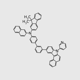 CC1(C)c2ccccc2-c2ccc(N(c3ccc(-c4cccc(-c5ccc6c(c5)c5c7ccccc7ccc5n6-c5cccnc5)c4)cc3)c3ccc4ccccc4c3)cc21